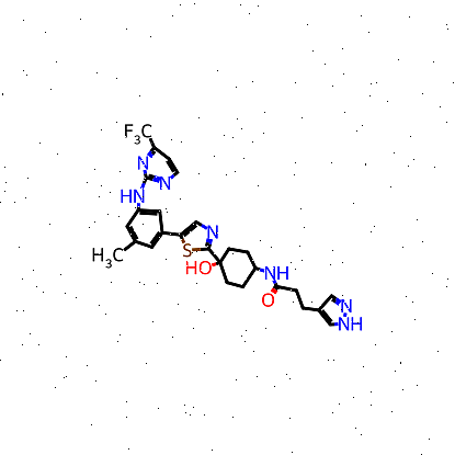 Cc1cc(Nc2nccc(C(F)(F)F)n2)cc(-c2cnc(C3(O)CCC(NC(=O)CCc4cn[nH]c4)CC3)s2)c1